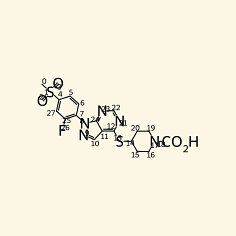 CS(=O)(=O)c1ccc(-n2ncc3c(SC4CCN(C(=O)O)CC4)ncnc32)c(F)c1